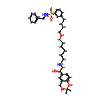 CC1(C)OCc2cc([C@@H](O)CNCCCCCCOCCCCc3cccc(S(=O)(=O)NCc4ccccc4)c3)ccc2O1